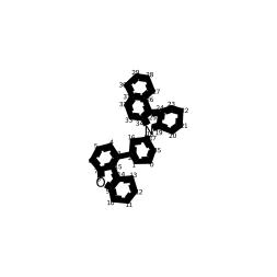 c1cc(-c2cccc3oc4ccccc4c23)cc(-n2c3ccccc3c3c4ccccc4ccc32)c1